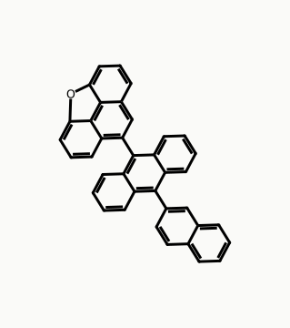 c1ccc2cc(-c3c4ccccc4c(-c4cc5cccc6oc7cccc4c7c56)c4ccccc34)ccc2c1